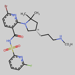 CC1(C)C[C@H](CCCNC(=O)O)CN1c1nc(Br)ccc1C(=O)NS(=O)(=O)c1cccc(F)n1